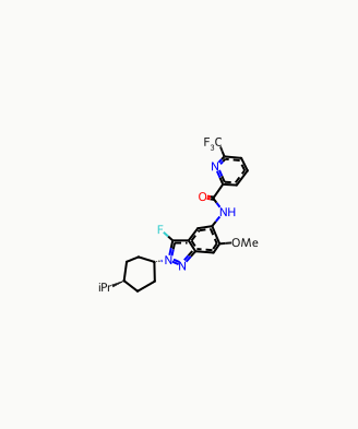 COc1cc2nn([C@H]3CC[C@H](C(C)C)CC3)c(F)c2cc1NC(=O)c1cccc(C(F)(F)F)n1